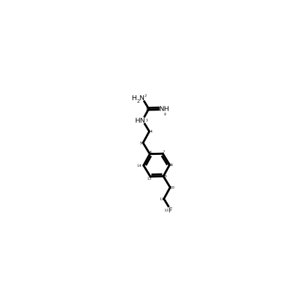 N=C(N)NCCc1ccc(CCF)cc1